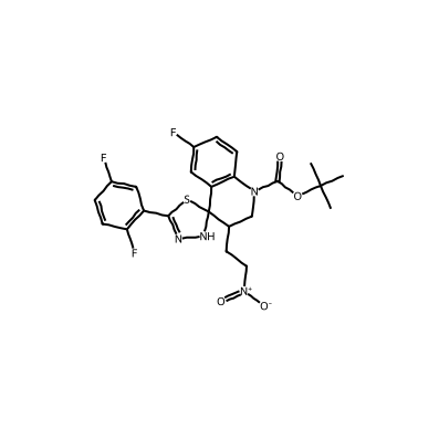 CC(C)(C)OC(=O)N1CC(CC[N+](=O)[O-])C2(NN=C(c3cc(F)ccc3F)S2)c2cc(F)ccc21